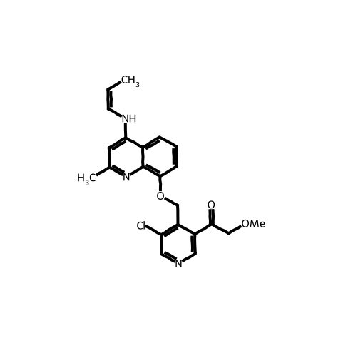 C/C=C\Nc1cc(C)nc2c(OCc3c(Cl)cncc3C(=O)COC)cccc12